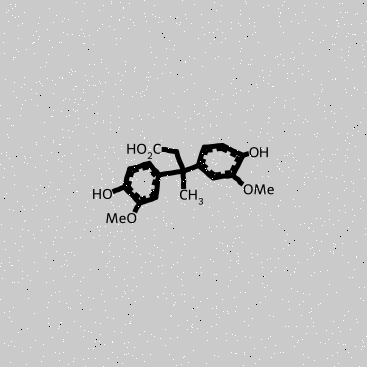 COc1cc(C(C)(CC(=O)O)c2ccc(O)c(OC)c2)ccc1O